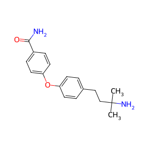 CC(C)(N)CCc1ccc(Oc2ccc(C(N)=O)cc2)cc1